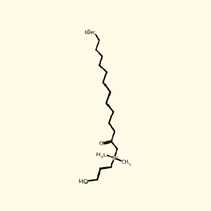 CCCCCCCCCCCCCCCCCCCCCC(=O)C[N+](C)(C)CCCO